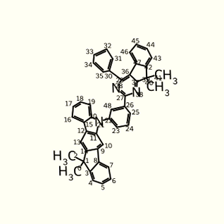 CC1(C)c2ccccc2-c2cc3c(cc21)c1ccccc1n3-c1cccc(-c2nc(-c3ccccc3)c3c(n2)C(C)(C)c2ccccc2-3)c1